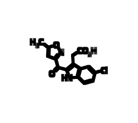 Cc1cc(C(=O)c2[nH]c3ccc(Cl)cc3c2CC(=O)O)no1